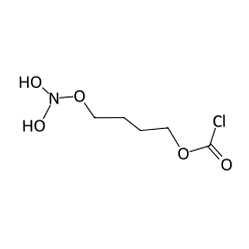 O=C(Cl)OCCCCON(O)O